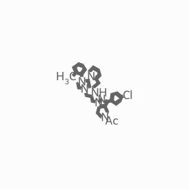 CC(=O)N1CCc2c(c(-c3ccc(Cl)cc3)nn2CC(CN2CCN(c3ccccc3C)CC2)NCCc2ccccn2)C1